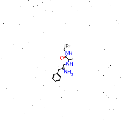 CC(C)CNC(=O)C(C)NC[C@@H](N)Cc1ccccc1